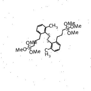 CO[Si](CCCc1cccc(C)c1SSc1c(C)cccc1CCC[Si](OC)(OC)OC)(OC)OC